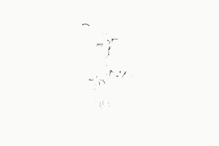 C=CCCC(=C)NCCCCC(N)C(=C)NC(CC)CCNCC